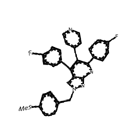 CSc1ccc(Cn2cc3c(-c4ccc(F)cc4)c(-c4ccncc4)c(-c4ccc(F)cc4)nc3n2)cc1